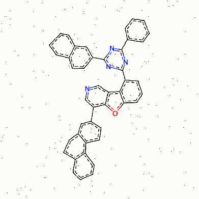 c1ccc(-c2nc(-c3ccc4ccccc4c3)nc(-c3cccc4oc5c(-c6ccc7c(ccc8ccccc87)c6)cncc5c34)n2)cc1